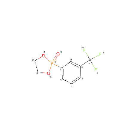 O=P1(c2cccc(C(F)(F)F)c2)OCCO1